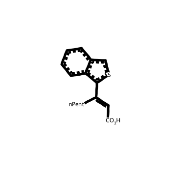 CCCCC/C(=C\C(=O)O)c1scc2ccccc12